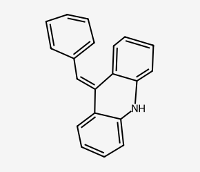 C(=C1c2ccccc2Nc2ccccc21)c1ccccc1